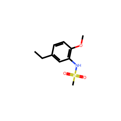 CCc1ccc(OC)c(NS(C)(=O)=O)c1